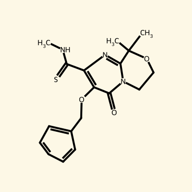 CNC(=S)c1nc2n(c(=O)c1OCc1ccccc1)CCOC2(C)C